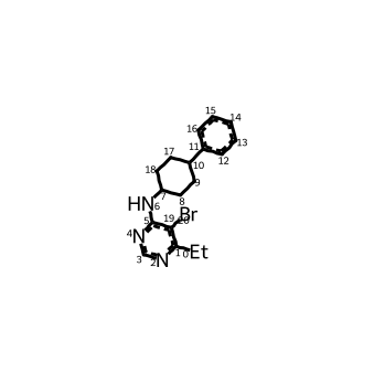 CCc1ncnc(NC2CCC(c3ccccc3)CC2)c1Br